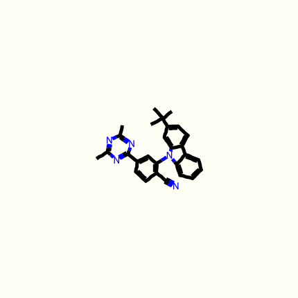 Cc1nc(C)nc(-c2ccc(C#N)c(-n3c4ccccc4c4ccc(C(C)(C)C)cc43)c2)n1